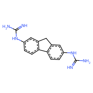 N=C(N)Nc1ccc2c(c1)Cc1cc(NC(=N)N)ccc1-2